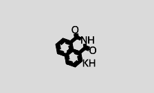 O=C1NC(=O)c2cccc3cccc1c23.[KH]